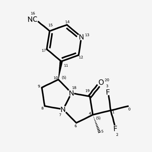 CC(F)(F)[C@@]1(C)CN2CC[C@@H](c3cncc(C#N)c3)N2C1=O